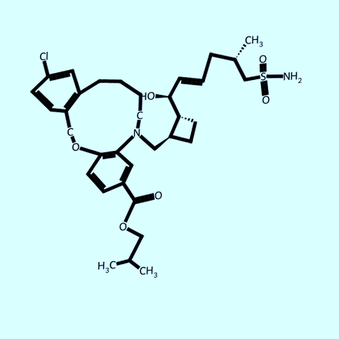 CC(C)COC(=O)c1ccc2c(c1)N(C[C@@H]1CC[C@H]1[C@@H](O)/C=C/C[C@H](C)CS(N)(=O)=O)CCCCc1cc(Cl)ccc1CO2